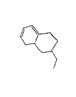 CCN1CCC2=CC=CCC2C1